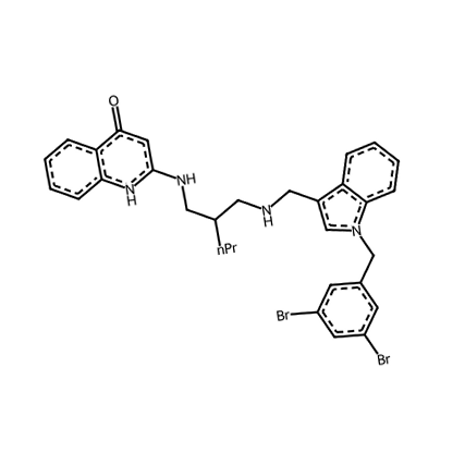 CCCC(CNCc1cn(Cc2cc(Br)cc(Br)c2)c2ccccc12)CNc1cc(=O)c2ccccc2[nH]1